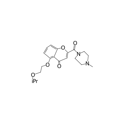 CC(C)OCCOc1cccc2oc(C(=O)N3CCN(C)CC3)cc(=O)c12